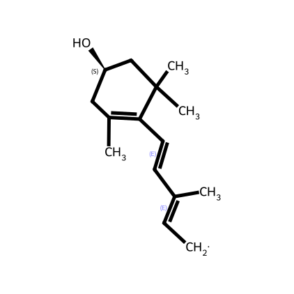 [CH2]/C=C(C)/C=C/C1=C(C)C[C@@H](O)CC1(C)C